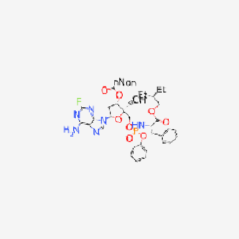 C#C[C@]1(CO[P@@](=O)(N[C@@H](Cc2ccccc2)C(=O)OCC(CC)CC)Oc2ccccc2)O[C@@H](n2cnc3c(N)nc(F)nc32)C[C@@H]1OC(=O)CCCCCCCCC